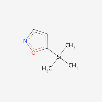 C[Si](C)(C)c1ccno1